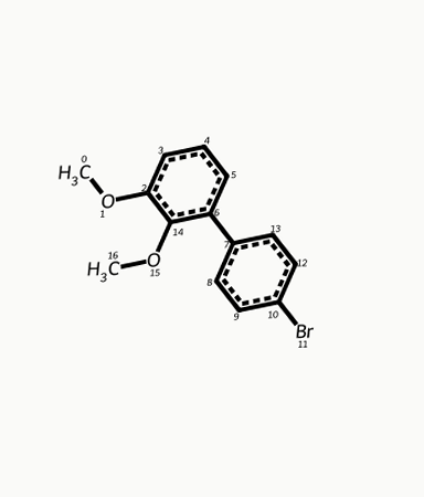 COc1cccc(-c2ccc(Br)cc2)c1OC